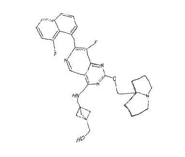 OCC12CC(Nc3nc(OCC45CCCN4CCC5)nc4c(F)c(-c5cccc6cccc(F)c56)ncc34)(C1)C2